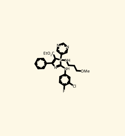 CCOC(=O)C1=C(c2ccccc2)N=C(Nc2ccc(F)c(Cl)c2)S1(NCCCOC)c1cncnc1